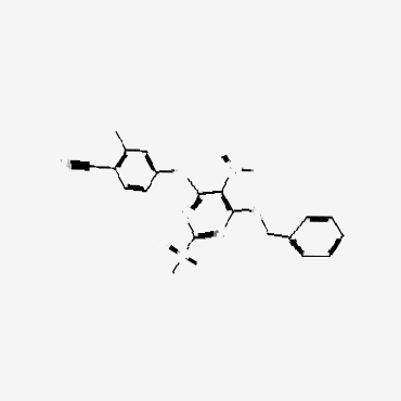 Cc1cc(Oc2nc(S(C)(=O)=O)nc(NCc3ccccc3)c2[N+](=O)[O-])ccc1C#N